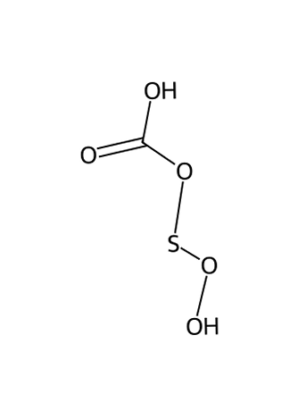 O=C(O)OSOO